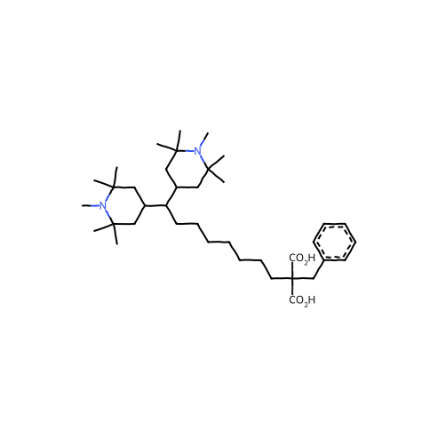 CN1C(C)(C)CC(C(CCCCCCCC(Cc2ccccc2)(C(=O)O)C(=O)O)C2CC(C)(C)N(C)C(C)(C)C2)CC1(C)C